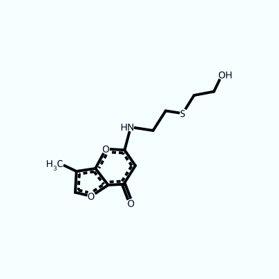 Cc1coc2c(=O)cc(NCCSCCO)oc12